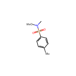 CON(C)S(=O)(=O)c1ccc(C(C)(C)C)cc1